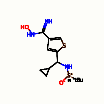 CC(C)(C)[S@+]([O-])NC(c1cc(C(=N)NO)cs1)C1CC1